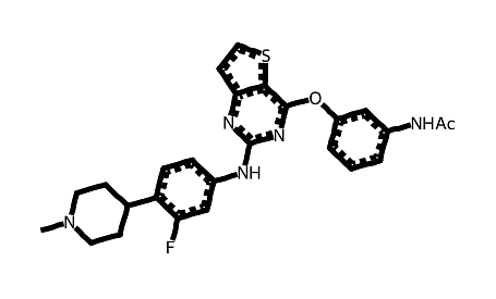 CC(=O)Nc1cccc(Oc2nc(Nc3ccc(C4CCN(C)CC4)c(F)c3)nc3ccsc23)c1